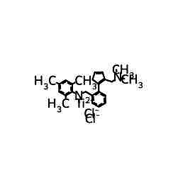 Cc1cc(C)c([N]([Ti+2])Cc2ccccc2C2=C(CN(C)C)C=CC2)c(C)c1.[Cl-].[Cl-]